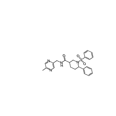 Cc1cnc(CNC(=O)C2CCC(c3ccccc3)N(S(=O)(=O)c3ccccc3)C2)cn1